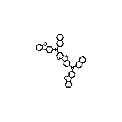 c1ccc2cc(N(c3ccc4c(c3)oc3ccccc34)c3ccc4c(c3)sc3cc(N(c5ccc6ccccc6c5)c5ccc6c(c5)oc5ccccc56)cnc34)ccc2c1